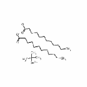 CCCCCCCCCCCC(=O)[O-].CCCCCCCCCCCC(=O)[O-].C[C](C)(C)[Sn+2]